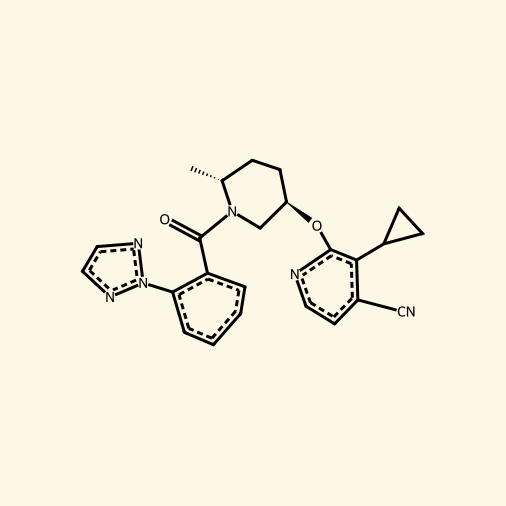 C[C@@H]1CC[C@@H](Oc2nccc(C#N)c2C2CC2)CN1C(=O)c1ccccc1-n1nccn1